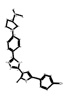 Cc1oc(-c2ccc(Cl)cc2)cc1-c1nnc(-c2ccc(N3CCC(N(C)C)C3)cc2)o1